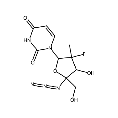 CC1(F)C(n2ccc(=O)[nH]c2=O)OC(CO)(N=[N+]=[N-])C1O